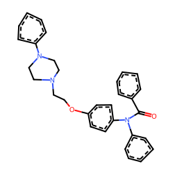 O=C(c1ccccc1)N(c1ccccc1)c1ccc(OCCN2CCN(c3ccccc3)CC2)cc1